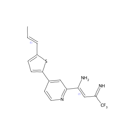 C/C=C/c1ccc(-c2ccnc(/C(N)=C/C(=N)C(F)(F)F)c2)s1